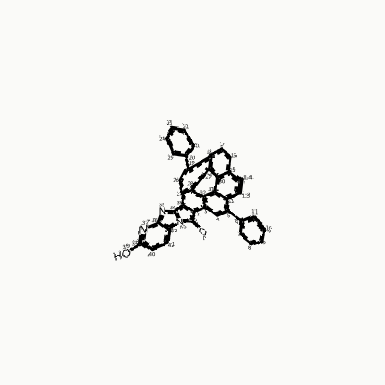 O=c1c2c3cc(-c4ccccc4)c4ccc5ccc6c(-c7ccccc7)cc(c7c6c5c4c37)c2c2nc3nc(O)ccc3n12